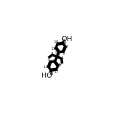 CCC(CC)(c1ccc(O)cc1)c1ccc(O)cc1